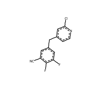 N#Cc1cc(Cc2ccnc(Cl)c2)cc(F)c1F